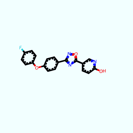 Oc1ccc(-c2nc(-c3ccc(Oc4ccc(F)cc4)cc3)no2)cn1